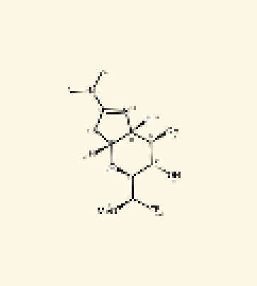 CO[C@@H]([C@H]1O[C@@H]2SC(N(C)C)=N[C@@H]2[C@@H](O)[C@@H]1O)C(F)(F)F